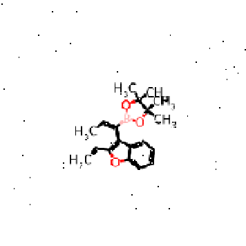 C=Cc1oc2ccccc2c1/C(=C\C)B1OC(C)(C)C(C)(C)O1